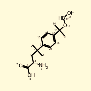 CC(C)(C[C@H](N)C(=O)O)c1ccc(C(C)(C)OBO)cc1